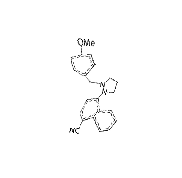 COc1ccc(CN2CCCN2c2ccc(C#N)c3ccccc23)cc1